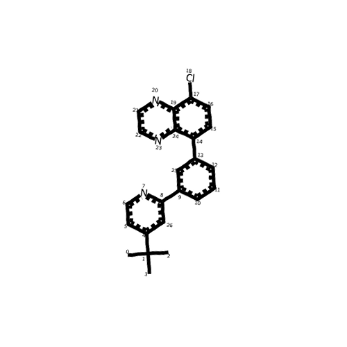 CC(C)(C)c1ccnc(-c2cccc(-c3ccc(Cl)c4nccnc34)c2)c1